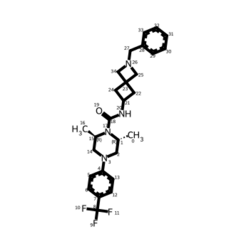 C[C@@H]1CN(c2ccc(C(F)(F)F)cc2)C[C@@H](C)N1C(=O)NC1CC2(C1)CN(Cc1ccccc1)C2